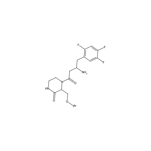 CC(C)OCC1C(=O)NCCN1C(=O)CC(N)Cc1cc(F)c(F)cc1F